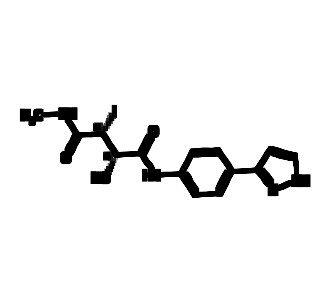 CNC(=O)[C@H](I)[C@@H](O)C(=O)Nc1ccc(-c2cc[nH]n2)cc1